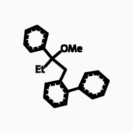 CCC(Cc1ccccc1-c1ccccc1)(OC)c1ccccc1